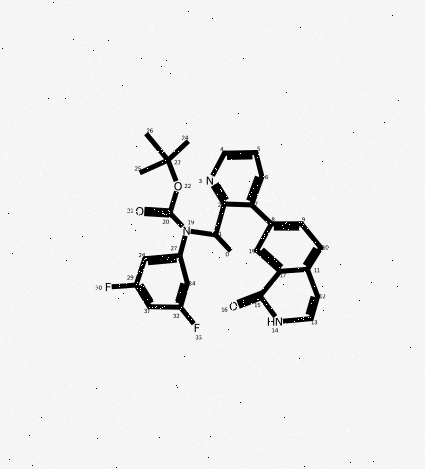 CC(c1ncccc1-c1ccc2cc[nH]c(=O)c2c1)N(C(=O)OC(C)(C)C)c1cc(F)cc(F)c1